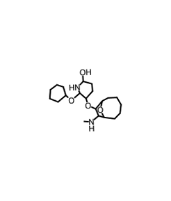 CNC1C2CCCCCC(O2)C1OC1CCC(O)NC1OC1CCCCC1